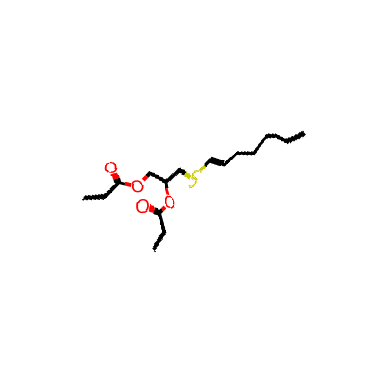 CCCCCC=CSCC(COC(=O)CC)OC(=O)CC